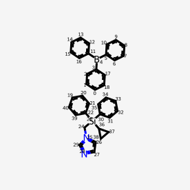 c1ccc(B(c2ccccc2)c2ccccc2)cc1.c1ccc([Si](Cn2ccnc2)(c2ccccc2)C2CC2)cc1